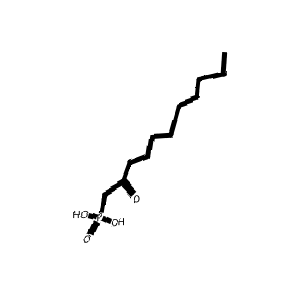 CCCCCCCCCC(=O)CP(=O)(O)O